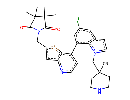 CC1(C)C(=O)N(Cc2cc3nccc(-c4cc(Cl)cc5ccn(CC6(C#N)CCNCC6)c45)c3s2)C(=O)C1(C)C